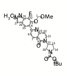 COCOc1c(-c2ccc3c(=O)n(C4CCN(C(=O)OC(C)(C)C)C4)ccc3n2)cc2cn(C)nc2c1F